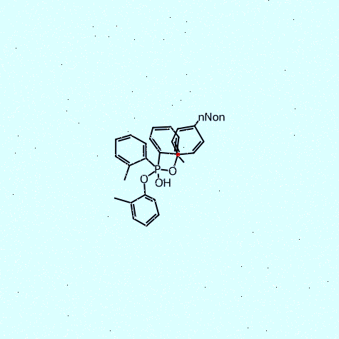 CCCCCCCCCc1ccc(OP(O)(Oc2ccccc2C)(c2ccccc2C)c2ccccc2C)cc1